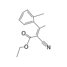 CCOC(=O)/C(C#N)=C(/C)c1ccccc1C